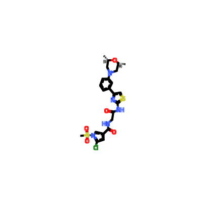 C[C@@H]1CN(c2cccc(-c3csc(NC(=O)CNC(=O)c4cc(Cl)n(S(C)(=O)=O)c4)n3)c2)C[C@H](C)O1